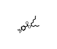 CCCCCC(CCCC)OC(=O)c1ccc(N(C)C)cc1